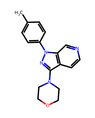 Cc1ccc(-n2nc(N3CCOCC3)c3ccncc32)cc1